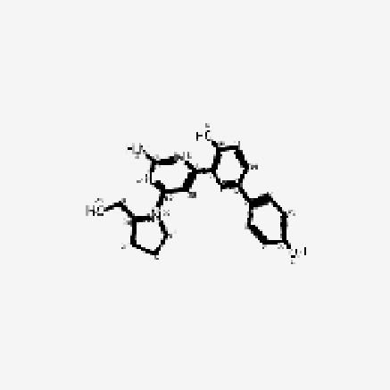 Nc1nc(-c2cc(-c3ccc(O)cc3)ccc2O)cc(N2CCCC2CO)n1